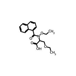 CCOCC(C(=O)O)N(OCC)C(=O)c1cccc2ccccc12